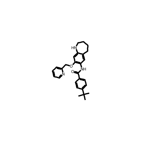 CC(C)(C)c1ccc(C(=O)Nc2cc3c(cc2OCc2ccccn2)NCCCC3)cc1